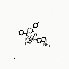 Cc1ccc(N2CCN(C(=O)c3ccccc3)C(C(OC(=O)C(F)(F)F)C(=O)Nc3ccc4c(N)nccc4c3)C2=O)cc1